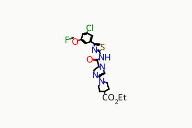 CCOC(=O)C1CCN(c2cnc(C(=O)Nc3nc(-c4cc(Cl)cc(OCF)c4)cs3)cn2)CC1